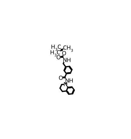 CC(C)(C)OC(=O)NCc1cccc(C(=O)NN2CCCc3ccccc32)c1